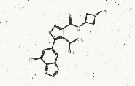 Cc1cc(-c2[nH]nc(C(=O)NC3CN(C)C3)c2C(C)C)cn2ncnc12